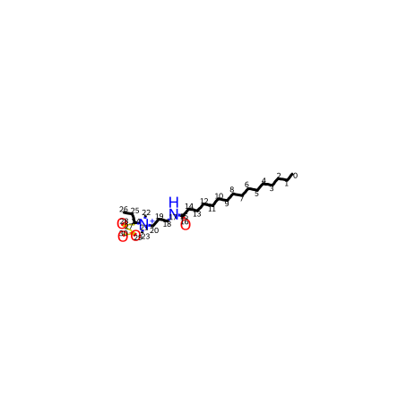 CCCCCCCCCCCCCCCC(=O)NCCC[N+](C)(C)C(CC)S(=O)(=O)[O-]